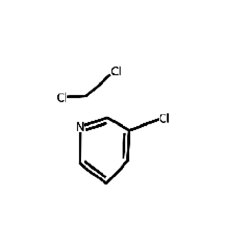 ClCCl.Clc1cccnc1